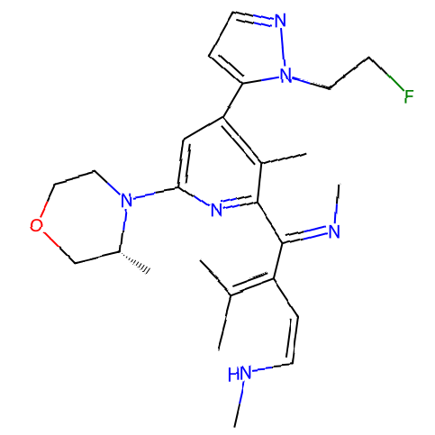 C/N=C(/C(/C=C\NC)=C(C)C)c1nc(N2CCOC[C@H]2C)cc(-c2ccnn2CCF)c1C